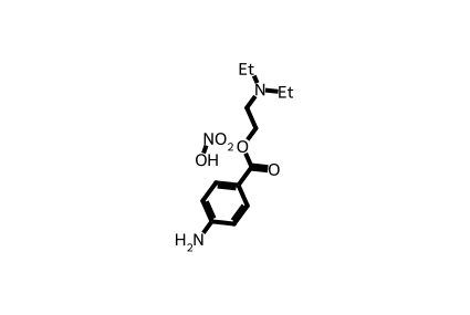 CCN(CC)CCOC(=O)c1ccc(N)cc1.O=[N+]([O-])O